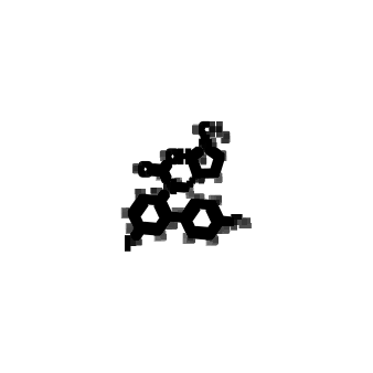 CN1CC[C@H](CN(C(=O)O)c2ccc(F)cc2-c2ccc(F)cc2)C1